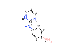 Bc1ccc(Nc2ncccn2)cc1